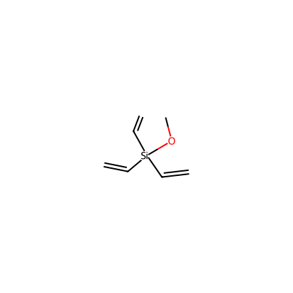 C=C[Si](C=C)(C=C)OC